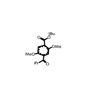 COc1cc(C(=O)C(C)C)c(OC)cc1C(=O)OC(C)(C)C